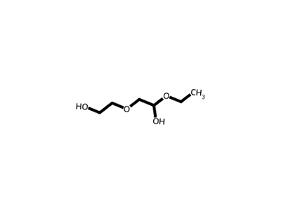 CCOC(O)COCCO